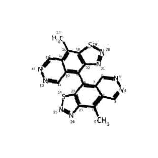 Cc1c2cnncc2c(-c2c3cnncc3c(C)c3snnc23)c2snnc12